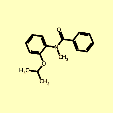 CC(C)Oc1ccccc1N(C)C(=O)c1ccccc1